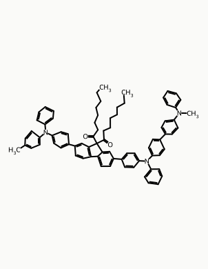 CCCCCCCC(=O)C1(C(=O)CCCCCCC)c2cc(-c3ccc(N(c4ccccc4)c4ccc(C)cc4)cc3)ccc2-c2ccc(-c3ccc(N(c4ccccc4)c4ccc(-c5ccc(N(C)c6ccccc6)cc5)cc4)cc3)cc21